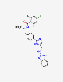 CCc1cc(F)cc(C)c1C(=O)NC(Cc1ccc(-c2ncc(CNc3nc4ccccc4[nH]3)[nH]2)cc1)C(=O)O